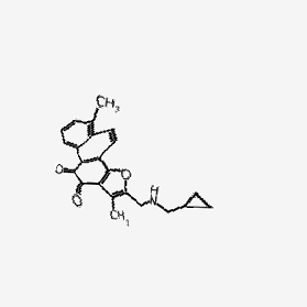 Cc1c(CNCC2CC2)oc2c1C(=O)C(=O)c1c-2ccc2c(C)cccc12